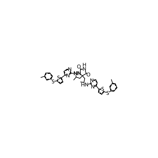 Cc1cccc(Sc2ccc(-c3ccnc(NC(C)CC4(CC(C)Nc5nccc(-c6ccc(Sc7cccc(C)c7)s6)n5)NC(=O)NC4=O)n3)s2)c1